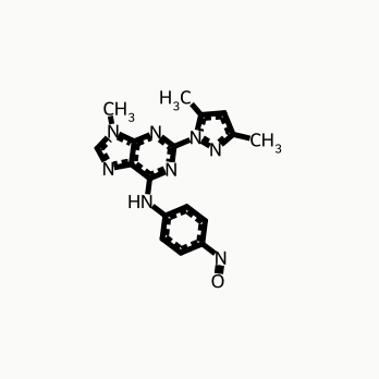 Cc1cc(C)n(-c2nc(Nc3ccc(N=O)cc3)c3ncn(C)c3n2)n1